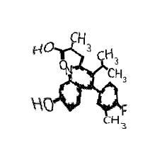 Cc1cc(-c2c(C(C)C)c(C[C@H](C)C(=O)O)nc3cc(O)ccc23)ccc1F